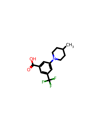 CC1CCN(c2cc(C(=O)O)cc(C(F)(F)F)c2)CC1